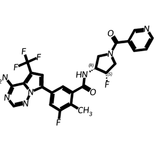 Cc1c(F)cc(-c2cc(C(F)(F)F)c3c(N)ncnn23)cc1C(=O)N[C@@H]1CN(C(=O)c2cccnc2)C[C@@H]1F